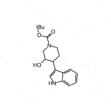 CC(C)(C)OC(=O)N1CCC(c2c[nH]c3ccccc23)C(O)C1